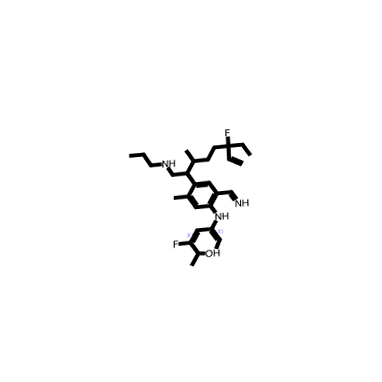 C=CC(F)(CC)CCC(C)C(CNCCC)c1cc(C=N)c(NC(=C/C)/C=C(/F)C(C)O)cc1C